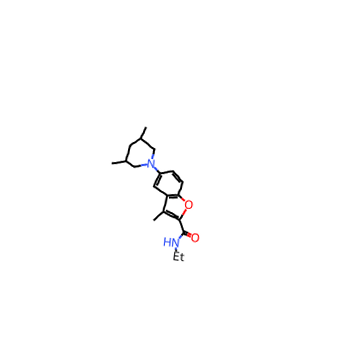 CCNC(=O)c1oc2ccc(N3CC(C)CC(C)C3)cc2c1C